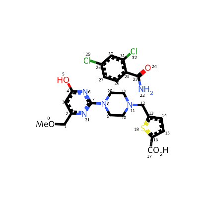 COCc1cc(O)nc(N2CCN(Cc3ccc(C(=O)O)s3)CC2)n1.NC(=O)c1ccc(Cl)cc1Cl